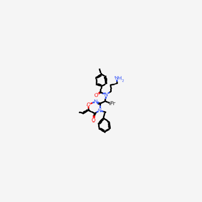 CC=C1ON=C(C(C(C)C)N(CCCN)C(=O)c2ccc(C)cc2)N(Cc2ccccc2)C1=O